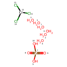 O.O.O.O.O.O.O=S(=O)(O)O.[Cl][Cr]([Cl])[Cl]